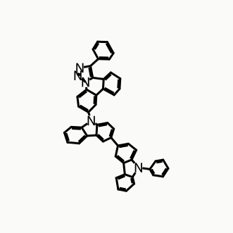 c1ccc(-c2nnn3c4ccc(-n5c6ccccc6c6cc(-c7ccc8c(c7)c7ccccc7n8-c7ccccc7)ccc65)cc4c4ccccc4c23)cc1